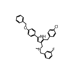 CN(Cc1cccc(F)c1)Cc1cc(-c2ccc(OCc3ccccc3)cc2)[nH]c1Cc1ccc(Cl)cc1